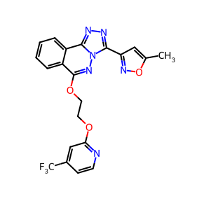 Cc1cc(-c2nnc3c4ccccc4c(OCCOc4cc(C(F)(F)F)ccn4)nn23)no1